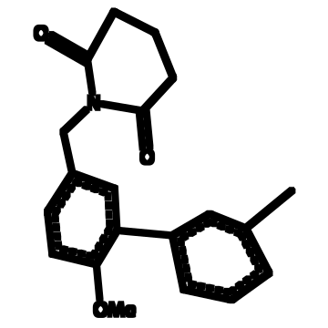 COc1ccc(CN2C(=O)CCCC2=O)cc1-c1cccc(C)c1